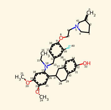 C=C1CCCN(CCOc2ccc(CN(CC)c3cc(OC)c(OC)cc3C3CCc4cc(O)ccc4C3)cc2F)C1